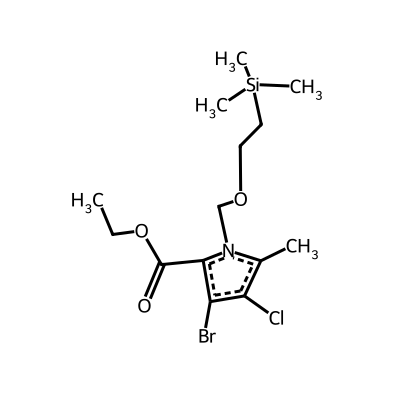 CCOC(=O)c1c(Br)c(Cl)c(C)n1COCC[Si](C)(C)C